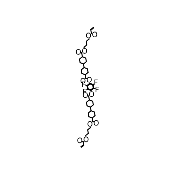 C=CC(=O)OCCCCOC(=O)C1CCC(C2CCC(C(=O)Oc3c(F)c(F)c(OC(=O)C4CCC(C5CCC(C(=O)OCCCCOC(=O)C=C)CC5)CC4)c(F)c3F)CC2)CC1